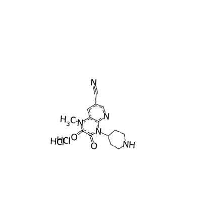 Cl.Cl.Cn1c(=O)c(=O)n(C2CCNCC2)c2ncc(C#N)cc21